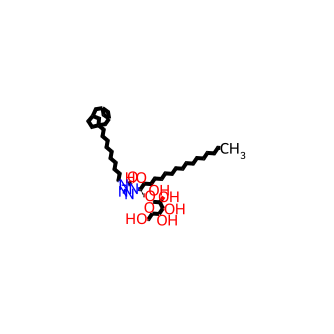 CCCCCCCCCCCCCC[C@@H](O)[C@@H](O)[C@H](COC1OC(CO)C(O)C(O)C1O)n1nnn(CCCCCCCCCCC23CCC(CC4CC(C4)C2)C3)c1=O